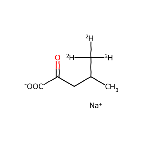 [2H]C([2H])([2H])C(C)CC(=O)C(=O)[O-].[Na+]